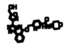 O=C(NN1CCOCC1)c1ccc(COc2nn3c(-c4cc(CO)on4)nnc3c3ccccc23)nc1